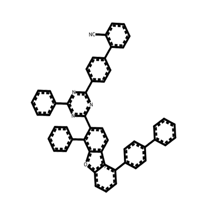 N#Cc1ccccc1-c1ccc(-c2nc(-c3ccccc3)nc(-c3ccc4c(oc5cccc(-c6ccc(-c7ccccc7)cc6)c54)c3-c3ccccc3)n2)cc1